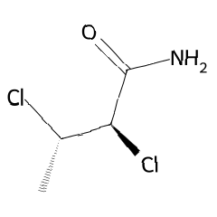 C[C@H](Cl)[C@H](Cl)C(N)=O